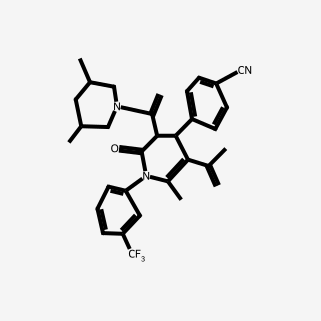 C=C(C)C1=C(C)N(c2cccc(C(F)(F)F)c2)C(=O)C(C(=C)N2CC(C)CC(C)C2)C1c1ccc(C#N)cc1